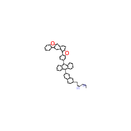 C/C=C\C=C/Cc1ccc2ccc(-c3c4ccccc4c(-c4ccc5c(c4)oc4ccc6cc7oc8ccccc8c7cc6c45)c4ccccc34)cc2c1